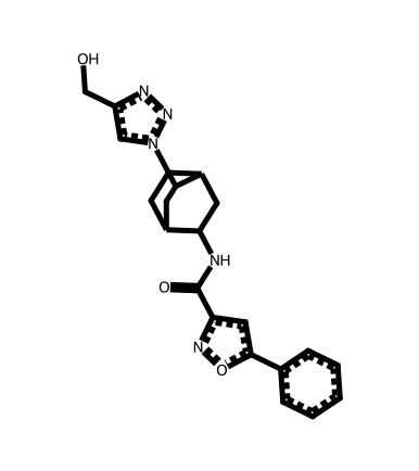 O=C(NC1CC2CCC1CC2n1cc(CO)nn1)c1cc(-c2ccccc2)on1